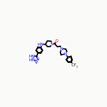 CN1N=C(c2ccc(NC3CCN(C(=O)CCN4CCN(c5ccc(C(F)(F)F)cc5)CC4)CC3)cc2)NN1